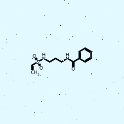 C=CS(=O)(=O)NCCCNC(=O)c1cc[c]cc1